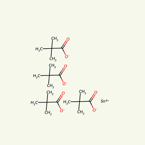 CC(C)(C)C(=O)[O-].CC(C)(C)C(=O)[O-].CC(C)(C)C(=O)[O-].CC(C)(C)C(=O)[O-].[Sn+4]